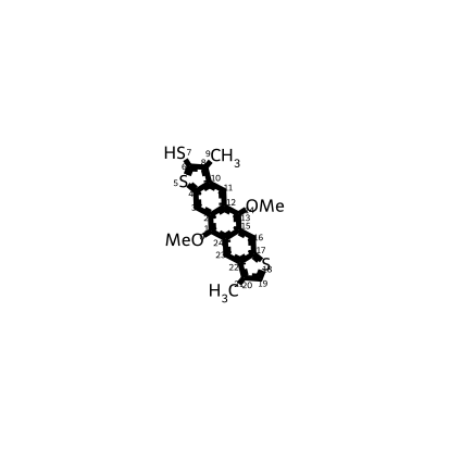 COc1c2cc3sc(S)c(C)c3cc2c(OC)c2cc3scc(C)c3cc12